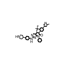 CC1C=C(c2ccc(-c3cc4cnc(Nc5ccc(C6CCNCC6)cc5)nc4n(-c4ccccc4)c3=O)c(C(C)(F)F)c2)C=N1